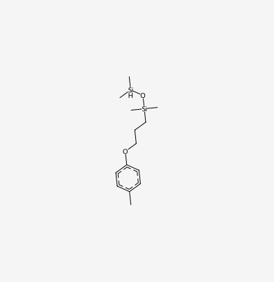 Cc1ccc(OCCC[Si](C)(C)O[SiH](C)C)cc1